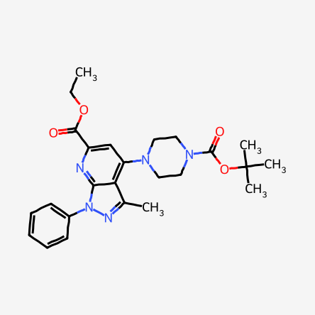 CCOC(=O)c1cc(N2CCN(C(=O)OC(C)(C)C)CC2)c2c(C)nn(-c3ccccc3)c2n1